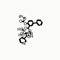 CC(C)OC(=O)Oc1ccc(-c2ccccc2)cc1C1OP(=O)(O)C(O)(Cc2cccnc2)P(=O)(O)O1